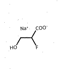 O=C([O-])C(F)CO.[Na+]